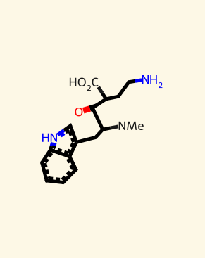 CNC(Cc1c[nH]c2ccccc12)C(=O)C(CCN)C(=O)O